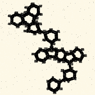 c1ccc(-c2cccc(-n3c4ccccc4c4cc5c(cc43)c3ccccc3n5-c3cccc(-c4cnc5c6ccccc6c6ccccc6c5n4)c3)c2)cc1